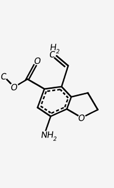 C=Cc1c(C(=O)OC)cc(N)c2c1CCO2